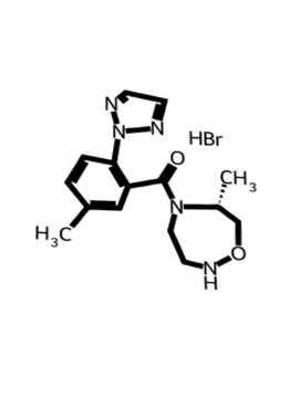 Br.Cc1ccc(-n2nccn2)c(C(=O)N2CCNOC[C@H]2C)c1